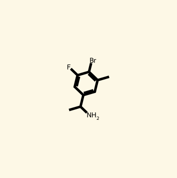 Cc1cc(C(C)N)cc(F)c1Br